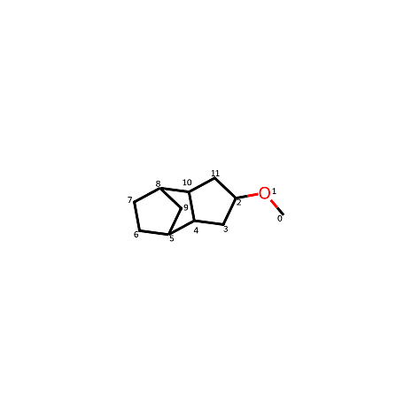 COC1CC2C3CCC(C3)C2C1